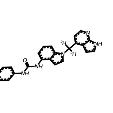 [2H]C([2H])(c1ccnc2[nH]ccc12)n1ccc2c(NC(=O)Nc3cccc(F)c3)cccc21